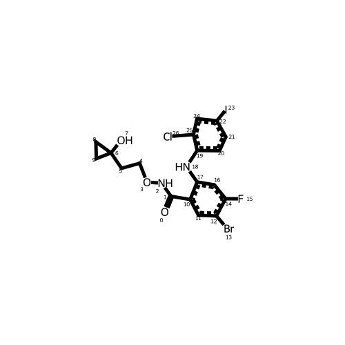 O=C(NOCCC1(O)CC1)c1cc(Br)c(F)cc1Nc1ccc(I)cc1Cl